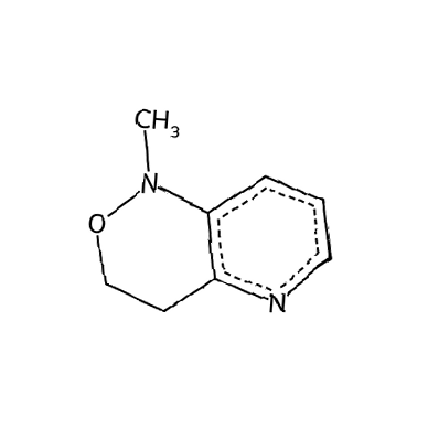 CN1OCCc2ncccc21